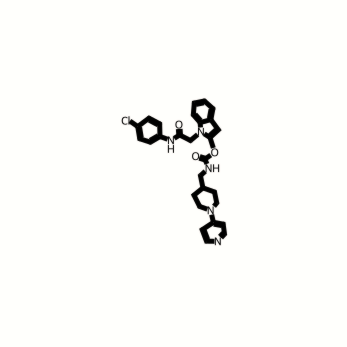 O=C(Cn1c(OC(=O)NCC2CCN(c3ccncc3)CC2)cc2ccccc21)Nc1ccc(Cl)cc1